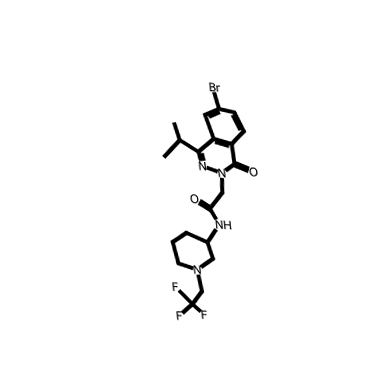 CC(C)c1nn(CC(=O)NC2CCCN(CC(F)(F)F)C2)c(=O)c2ccc(Br)cc12